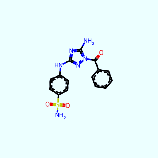 Nc1nc(Nc2ccc(S(N)(=O)=O)cc2)nn1C(=O)c1ccccc1